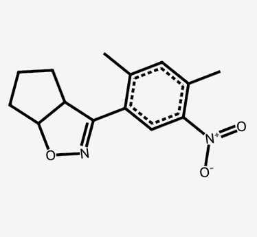 Cc1cc(C)c([N+](=O)[O-])cc1C1=NOC2CCCC12